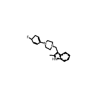 Cc1[nH]c2ccccc2c1CN1CCN(C2=CCC(F)C=C2)CC1